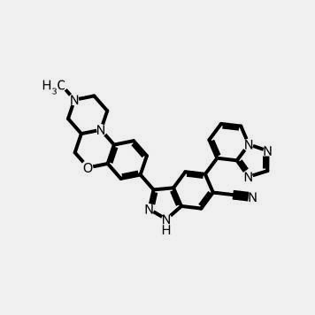 CN1CCN2c3ccc(-c4n[nH]c5cc(C#N)c(-c6cccn7ncnc67)cc45)cc3OCC2C1